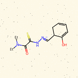 CCN(CC)C(=O)C(=S)N/N=C/C1CC=CC=C1O